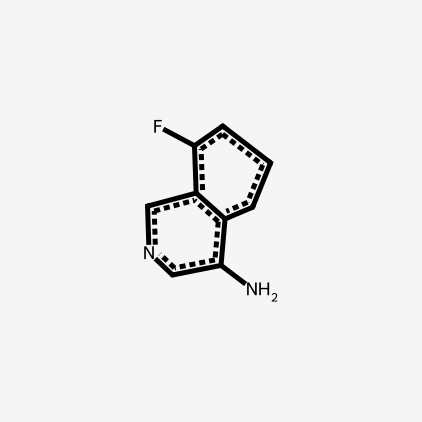 Nc1cncc2c(F)cccc12